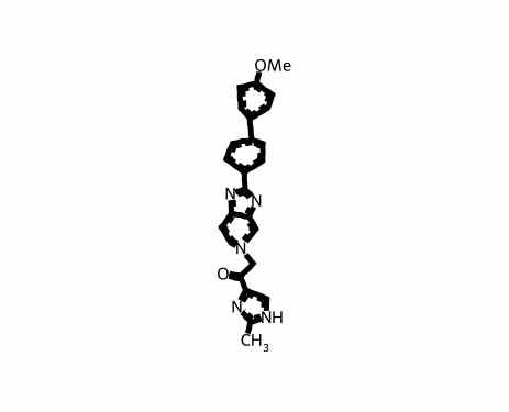 COc1ccc(-c2ccc(-c3nc4ccn(CC(=O)c5c[nH]c(C)n5)cc-4n3)cc2)cc1